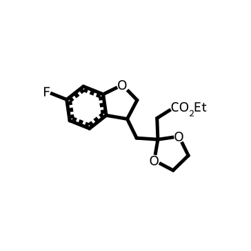 CCOC(=O)CC1(CC2COc3cc(F)ccc32)OCCO1